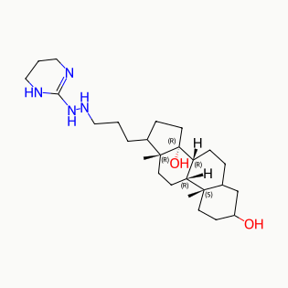 C[C@]12CCC(O)CC1CC[C@@H]1[C@H]2CC[C@]2(C)C(CCCNNC3=NCCCN3)CC[C@@]12O